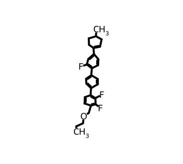 CCCOCc1ccc(-c2ccc(-c3ccc(C4=CCC(C)CC4)cc3F)cc2)c(F)c1F